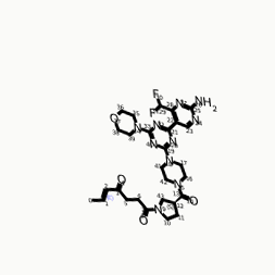 C/C=C/C(=O)CCC(=O)N1CC[C@H](C(=O)N2CCN(c3nc(-c4cnc(N)nc4C(F)F)nc(N4CCOCC4)n3)CC2)C1